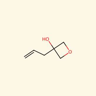 C=CCC1(O)COC1